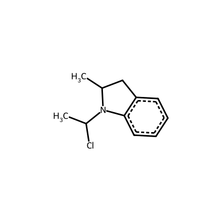 CC(Cl)N1c2ccccc2CC1C